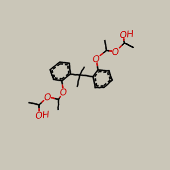 CC(O)OC(C)Oc1ccccc1C(C)(C)c1ccccc1OC(C)OC(C)O